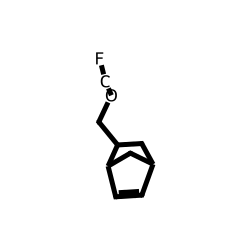 FCOCC1CC2C=CC1C2